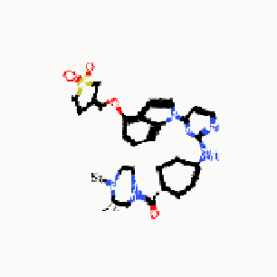 CCN1CCN(C(=O)[C@H]2CC[C@H](Nc3nccc(-n4ccc5c(OCC6CCS(=O)(=O)C6)cccc54)n3)CC2)C[C@@H]1C